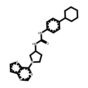 O=C(Nc1ccc(C2CCCCC2)cc1)NC1CCN(c2ncnc3ccsc23)C1